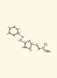 CC(C)(C)[S@+]([O-])N=Cc1cc(OCc2ccccc2)no1